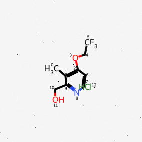 Cc1c(OCC(F)(F)F)ccnc1CO.Cl